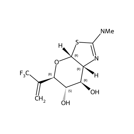 C=C([C@H]1O[C@@H]2SC(NC)=N[C@@H]2[C@@H](O)[C@@H]1O)C(F)(F)F